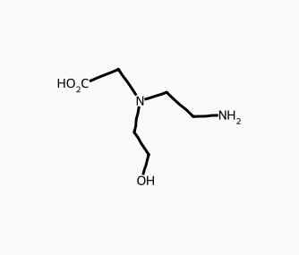 NCCN(CCO)CC(=O)O